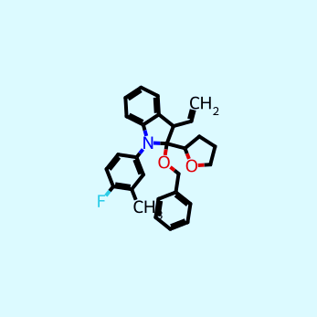 C=CC1c2ccccc2N(c2ccc(F)c(C)c2)C1(OCc1ccccc1)C1CCCO1